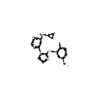 Cc1ccc(N)cc1Nc1nccn1-c1cc([AsH]C2CC2)ncn1